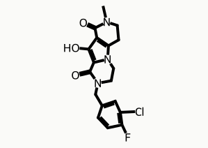 CN1CCc2c(c(O)c3n2CCN(Cc2ccc(F)c(Cl)c2)C3=O)C1=O